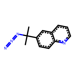 CC(C)(N=[N+]=[N-])c1ccc2ncccc2c1